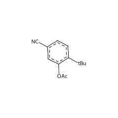 CC(=O)Oc1cc(C#N)ccc1C(C)(C)C